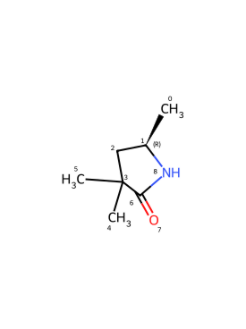 C[C@@H]1CC(C)(C)C(=O)N1